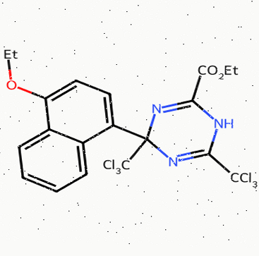 CCOC(=O)C1=NC(c2ccc(OCC)c3ccccc23)(C(Cl)(Cl)Cl)N=C(C(Cl)(Cl)Cl)N1